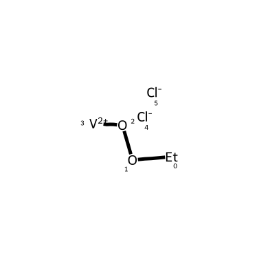 CCO[O][V+2].[Cl-].[Cl-]